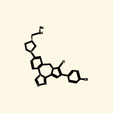 CC[C@@H](C)NC[C@H]1CCN(c2ccc3c(c2)Cn2c(cc(-c4ccc(C#N)cc4)c2Cl)-c2nncn2-3)C1